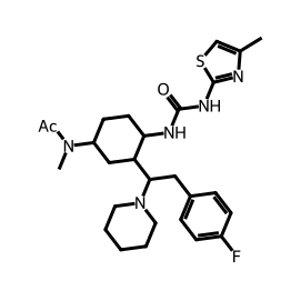 CC(=O)N(C)C1CCC(NC(=O)Nc2nc(C)cs2)C(C(Cc2ccc(F)cc2)N2CCCCC2)C1